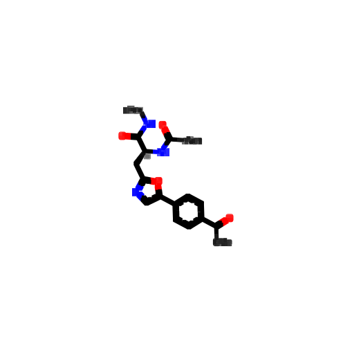 CCCCCCCCCC(=O)N[C@@H](Cc1ncc(-c2ccc(C(=O)OC)cc2)o1)C(=O)NCCCCCC